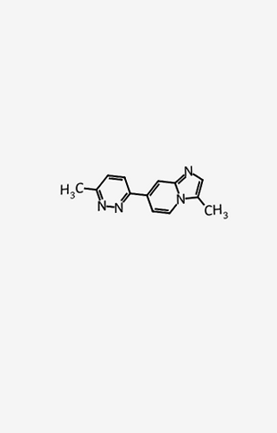 Cc1ccc(-c2ccn3c(C)cnc3c2)nn1